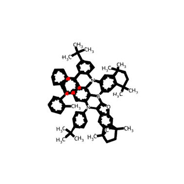 Cc1ccccc1N(c1ccccc1)c1cc2c3c(c1)N(c1ccc(C(C)(C)C)cc1)c1c(oc4cc5c(cc14)C1(C)CCC5(C)CC1)B3c1cc3c(cc1N2c1ccc(C(C)(C)C)cc1-c1ccccc1)C(C)(C)CCC3(C)C